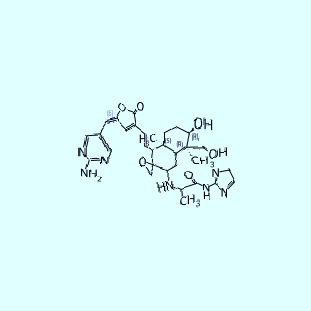 CC(NC1CC2[C@](C)(CC[C@@H](O)[C@@]2(C)CO)C(/C=C/C2=CC(=C\c3cnc(N)nc3)/OC2=O)C12CO2)C(=O)NC1=NCC=N1